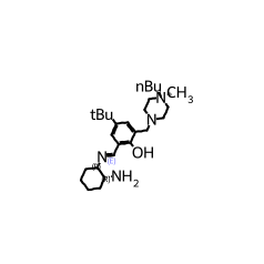 CCCC[N+]1(C)CCN(Cc2cc(C(C)(C)C)cc(/C=N/[C@@H]3CCCC[C@H]3N)c2O)CC1